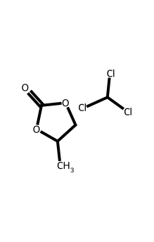 CC1COC(=O)O1.ClC(Cl)Cl